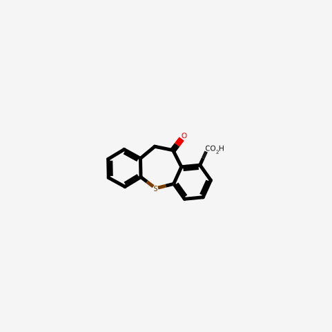 O=C(O)c1cccc2c1C(=O)Cc1ccccc1S2